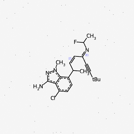 CC(F)/N=C(C#CC(C)(C)C)\C=C/C(C)c1ccc(Cl)c2c(N)nn(C)c12